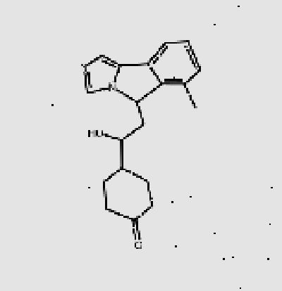 Cc1cccc2c1C(CC(O)C1CCC(=O)CC1)n1cncc1-2